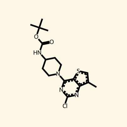 Cc1csc2c(N3CCC(NC(=O)OC(C)(C)C)CC3)nc(Cl)nc12